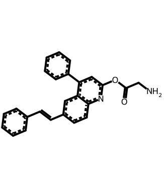 NCC(=O)Oc1cc(-c2ccccc2)c2cc(C=Cc3ccccc3)ccc2n1